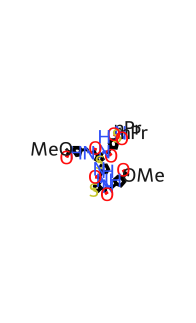 CCCN(CCC)S(=O)(=O)c1ccc(C(=O)Nc2cscc2C(=O)NCc2ccc(C(=O)OC)cc2)cc1.COC(=O)c1ccc(CNC(=O)c2cscc2NC(=O)c2ccccn2)cc1